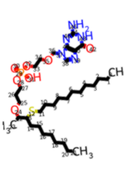 CCCCCCCCCCCCSC(CCCCCCCC)C(C)OCCCOP(=O)(O)OCCOCn1cnc2c(=O)[nH]c(N)nc21